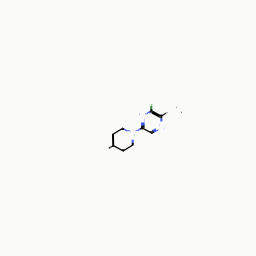 CCOC(=O)C1CCN(c2cnc(C#N)c(Cl)n2)CC1